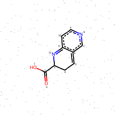 O=C(O)C1CC=c2cnccc2=N1